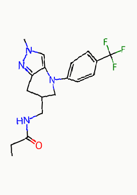 CCC(=O)NCC1Cc2nn(C)cc2N(c2ccc(C(F)(F)F)cc2)C1